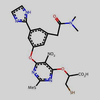 CSc1nc(Oc2cc(CC(=O)N(C)C)cc(-c3ncc[nH]3)c2)c([N+](=O)[O-])c(OC(CS)C(=O)O)n1